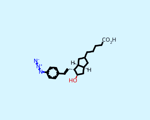 [N-]=[N+]=Nc1ccc(/C=C/[C@@H]2[C@H]3CC(CCCCC(=O)O)C[C@H]3C[C@H]2O)cc1